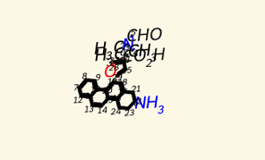 CC(=O)O.CN(C)C=O.N.c1ccc2c(c1)ccc1c3c(ccc12)CCCC3.c1ccoc1